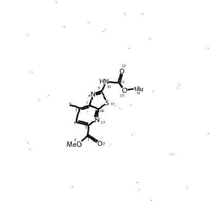 COC(=O)c1cc(C)c2nc(NC(=O)OC(C)(C)C)sc2n1